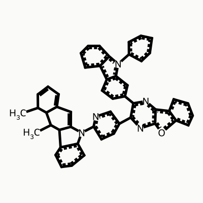 CC1C=CC=C2C=C3C(c4ccccc4N3c3ccc(-c4nc5oc6ccccc6c5nc4-c4ccc5c6ccccc6n(-c6ccccc6)c5c4)cn3)C(C)C21